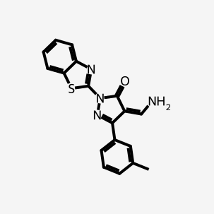 Cc1cccc(C2=NN(c3nc4ccccc4s3)C(=O)C2=CN)c1